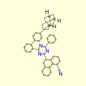 N#Cc1cccc2c(-c3nc(-c4ccccc4)nc(-c4ccccc4-c4ccc(C56C[C@@H]7C[C@@H]8CC9(C5)[C@@H](C6)C879)cc4)n3)cc3ccccc3c12